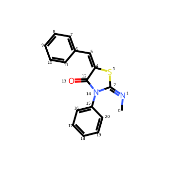 CN=C1SC(=Cc2ccccc2)C(=O)N1c1ccccc1